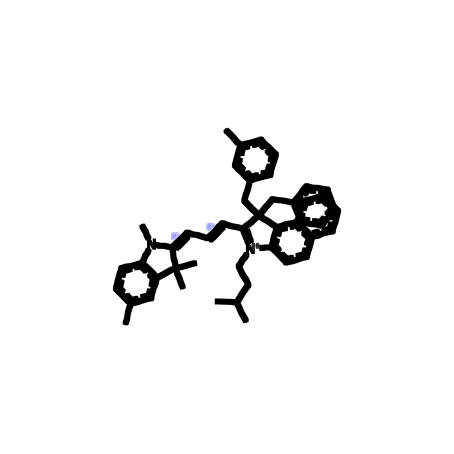 Cc1cccc(CC2(Cc3ccccc3)C(/C=C/C=C3/N(C)c4ccc(C)cc4C3(C)C)=[N+](CCC(C)C)c3ccc4ccccc4c32)c1